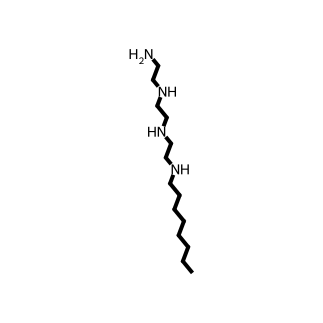 CCCCCCCCNCCNCCNCCN